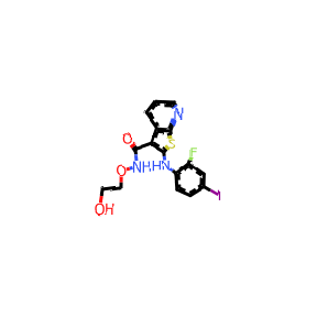 O=C(NOCCO)c1c(Nc2ccc(I)cc2F)sc2ncccc12